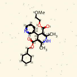 COCCOC(=O)C1=C(C)NC(C)=C(C(=O)OCC2CCCCC2)C1c1cccnc1